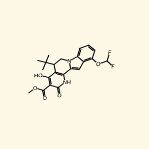 COC(=O)c1c(O)c2c([nH]c1=O)-c1cc3c(OC(F)F)cccc3n1CC2C(C)(C)C